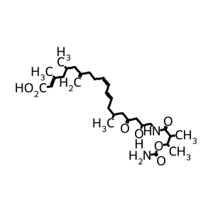 C=C(CC/C=C\C=C\CC(C)CC(=O)CC(O)CNC(=O)C(C)C(C)OC(N)=O)CC(C)C/C(C)=C/C(=O)O